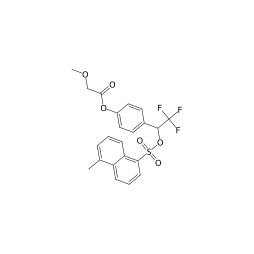 COCC(=O)Oc1ccc(C(OS(=O)(=O)c2cccc3c(C)cccc23)C(F)(F)F)cc1